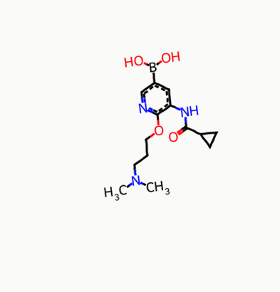 CN(C)CCCOc1ncc(B(O)O)cc1NC(=O)C1CC1